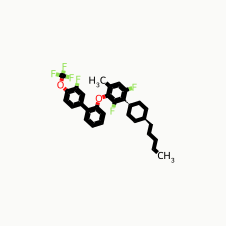 CCCCC[C@H]1CC[C@H](c2c(F)cc(C)c(Oc3ccccc3-c3ccc(OC(F)(F)F)c(F)c3)c2F)CC1